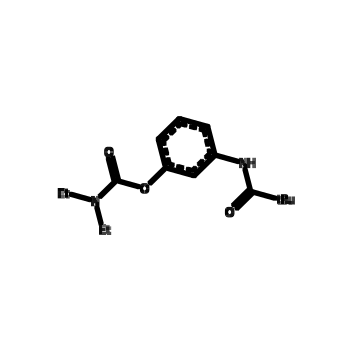 CCN(CC)C(=O)Oc1cccc(NC(=O)C(C)(C)C)c1